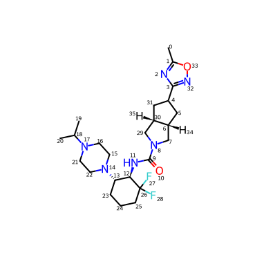 Cc1nc(C2C[C@@H]3CN(C(=O)N[C@@H]4[C@@H](N5CCN(C(C)C)CC5)CCCC4(F)F)C[C@@H]3C2)no1